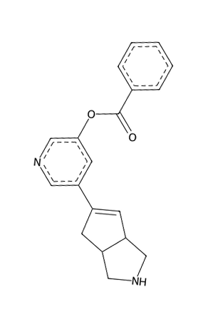 O=C(Oc1cncc(C2=CC3CNCC3C2)c1)c1ccccc1